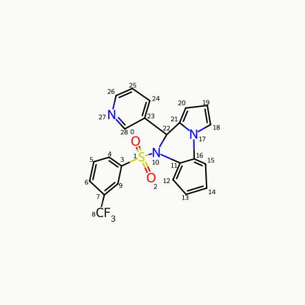 O=S(=O)(c1cccc(C(F)(F)F)c1)N1c2ccccc2-n2cccc2C1c1cccnc1